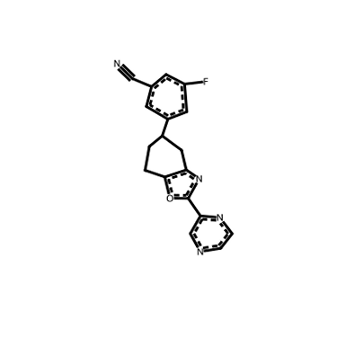 N#Cc1cc(F)cc(C2CCc3oc(-c4cnccn4)nc3C2)c1